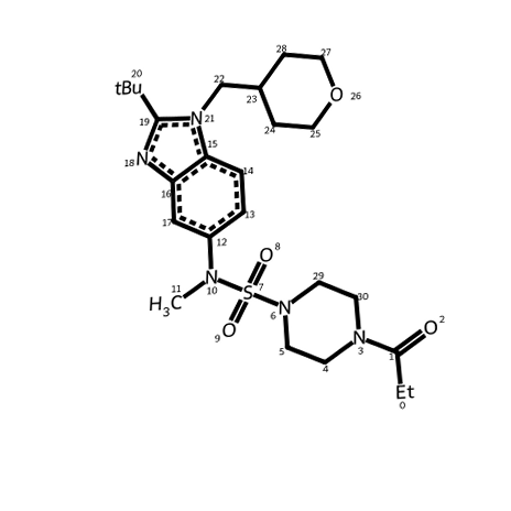 CCC(=O)N1CCN(S(=O)(=O)N(C)c2ccc3c(c2)nc(C(C)(C)C)n3CC2CCOCC2)CC1